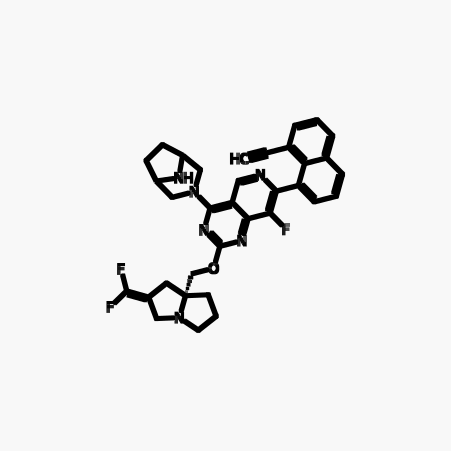 C#Cc1cccc2cccc(-c3ncc4c(N5CC6CCC(C5)N6)nc(OC[C@]56CCCN5CC(=C(F)F)C6)nc4c3F)c12